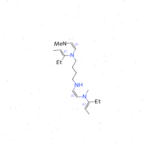 C/C=C(\CC)N(C)/C=C\NCCCCN(/C=C\NC)/C(=C/C)CC